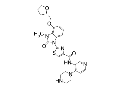 Cn1c(=O)n(-c2nc(C(=O)Nc3cnccc3N3CCNCC3)cs2)c2cccc(OC[C@@H]3CCCO3)c21